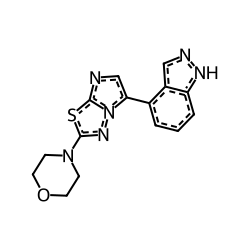 c1cc(-c2cnc3sc(N4CCOCC4)nn23)c2cn[nH]c2c1